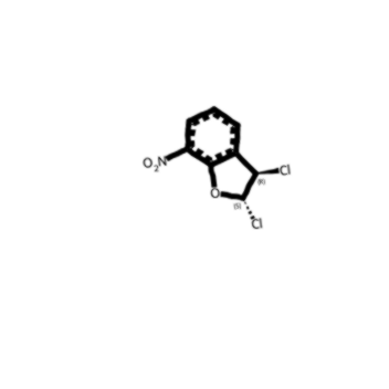 O=[N+]([O-])c1cccc2c1O[C@@H](Cl)[C@@H]2Cl